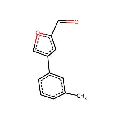 Cc1cccc(-c2coc(C=O)c2)c1